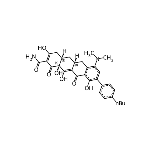 CCCCc1ccc(-c2cc(N(C)C)c3c(c2O)C(=O)C2=C(O)[C@]4(O)C(=O)C(C(N)=O)=C(O)C[C@@H]4C[C@@H]2C3)cc1